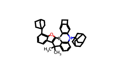 CC1(C)c2cccc3c2B(c2cc4c(cc2N3C23CC5CC(CC(C5)C2)C3)CC4)c2oc3c(C45CCC(CC4)CC5)cccc3c21